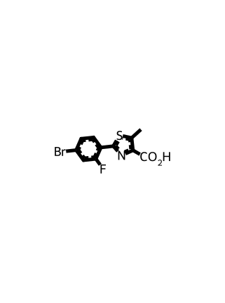 Cc1sc(-c2ccc(Br)cc2F)nc1C(=O)O